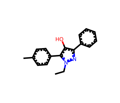 CCn1nc(-c2ccccc2)c(O)c1-c1ccc(C)cc1